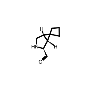 O=C[C@H]1NC[C@H]2[C@@H]1C21CCC1